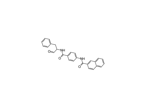 O=CC(Cc1ccccc1)NC(=O)c1ccc(NC(=O)c2ccc3ccccc3c2)cc1